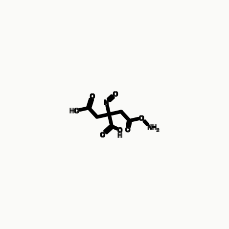 NOC(=O)CC(CC(=O)O)(N=O)C(=O)O